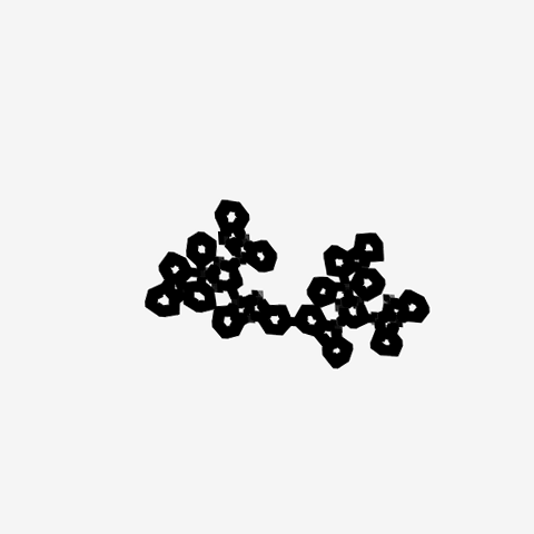 c1ccc([Si](c2ccccc2)(c2nc(-n3c4ccccc4c4cc(-c5ccc6c(c5)nc5n(-c7cc(-n8c9ccccc9n9c%10ccccc%10nc89)nc([Si](c8ccccc8)(c8ccccc8)c8cccc9c8sc8ccccc89)n7)c7ccccc7n65)ccc43)cc(-n3c4ccccc4n4c5ccccc5nc34)n2)c2cccc3c2sc2ccccc23)cc1